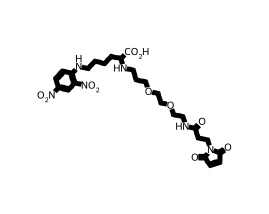 O=C(CCN1C(=O)C=CC1=O)NCCOCCOCCCNC(CCCCNc1ccc([N+](=O)[O-])cc1[N+](=O)[O-])C(=O)O